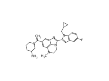 C=C(c1cc2c3c(c1)nc(-c1cc4cc(F)ccc4n1CC1CC1)n3CCN2C)N1CCCC(N)C1